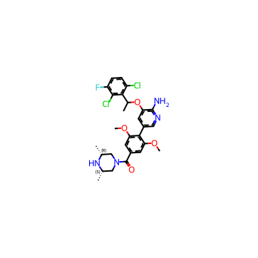 COc1cc(C(=O)N2C[C@@H](C)N[C@@H](C)C2)cc(OC)c1-c1cnc(N)c(OC(C)c2c(Cl)ccc(F)c2Cl)c1